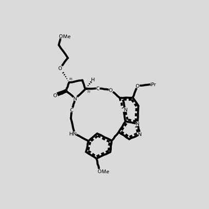 COCCO[C@@H]1C[C@H]2COc3nc4c(cnn4cc3OC(C)C)-c3cc(cc(OC)c3)NCCN2C1=O